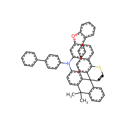 CC1(C)c2ccccc2C2(c3ccccc3Sc3c2ccc2ccccc32)c2cc(N(c3ccc(-c4ccccc4)cc3)c3ccc4c(c3)oc3ccccc34)ccc21